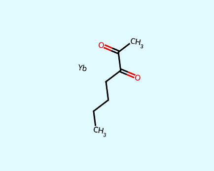 CCCCC(=O)C(C)=O.[Yb]